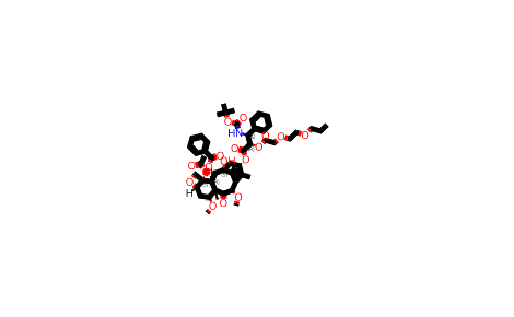 CCCOCCOCC(=O)O[C@@H](C(=O)O[C@H]1C[C@@]2(O)[C@@H](OC(=O)c3ccccc3)[C@@H]3[C@]4(OC(C)=O)CO[C@@H]4C[C@H](OC)[C@@]3(C)C(=O)[C@H](OC)C(=C1C)C2(C)C)[C@@H](NC(=O)OC(C)(C)C)c1ccccc1